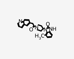 Cc1cccc2[nH]c(=O)n(C3CCN(C(=O)Cc4ccc5ncccc5c4)CC3)c12